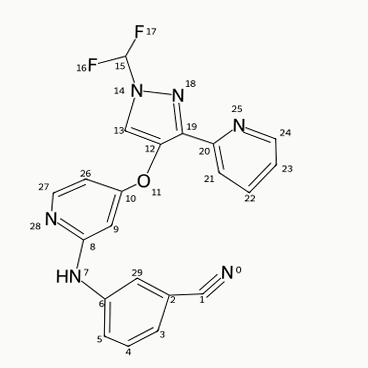 N#Cc1cccc(Nc2cc(Oc3cn(C(F)F)nc3-c3ccccn3)ccn2)c1